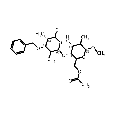 CO[C@H]1OC(COC(C)=O)[C@H](O[C@@H]2OC(C)[C@@H](C)[C@@H](OCc3ccccc3)C2C)[C@H](C)C1C